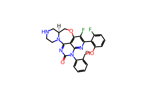 CC(C)c1ccccc1-n1c(=O)nc2c3c(c(F)c(-c4c(O)cccc4F)nc31)OC[C@@H]1CNCCN21